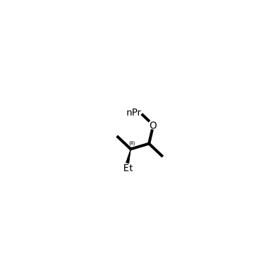 CCCOC(C)[C@H](C)CC